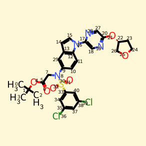 CC(C)(C)OC(=O)CN(c1ccc2c(ccn2-c2cnc(O[C@@H]3CCOC3)cn2)c1)S(=O)(=O)c1cc(Cl)cc(Cl)c1